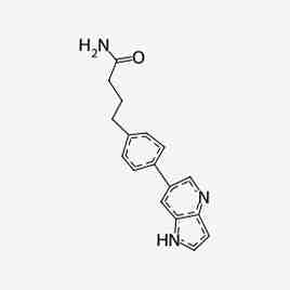 NC(=O)CCCc1ccc(-c2cnc3cc[nH]c3c2)cc1